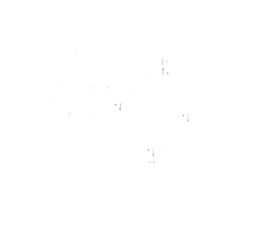 C1=Cc2cc3ccc(cc4nc(cc5ccc(cc1n2)[nH]5)C=C4)[nH]3.c1ccc2c(c1)Cc1ccccc1-2